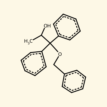 CC(O)C(OCc1ccccc1)(c1ccccc1)c1ccccc1